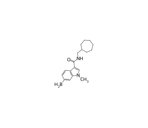 Bc1ccc2c(C(=O)NCC3CCCCCC3)cn(C)c2c1